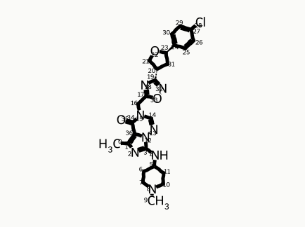 Cc1nc(NC2CCN(C)CC2)n2ncn(Cc3nc([C@@H]4CO[C@@H](c5ccc(Cl)cc5)C4)no3)c(=O)c12